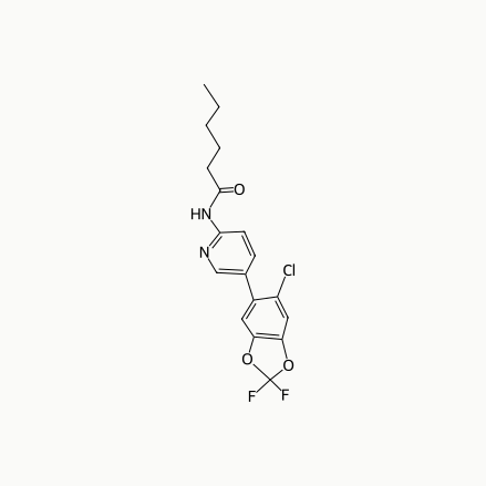 CCCCCC(=O)Nc1ccc(-c2cc3c(cc2Cl)OC(F)(F)O3)cn1